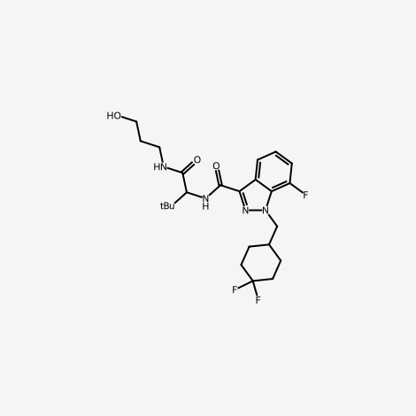 CC(C)(C)C(NC(=O)c1nn(CC2CCC(F)(F)CC2)c2c(F)cccc12)C(=O)NCCCO